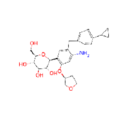 Nc1cc(O[C@H]2CCOC2)c([C@@H]2O[C@H](CO)[C@@H](O)[C@H](O)[C@H]2O)cc1Cc1ccc(C2CC2)cc1